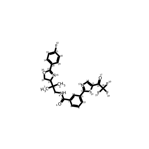 CC(C)(CNC(=O)c1cccc(-c2ncc(C(=O)C(F)(F)F)s2)c1)C1COC(c2ccc(F)cc2)=N1